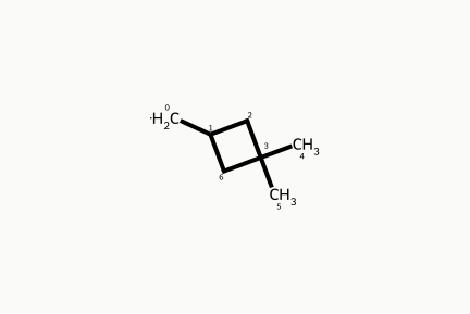 [CH2]C1CC(C)(C)C1